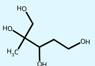 CC(O)(CO)C(O)CCO